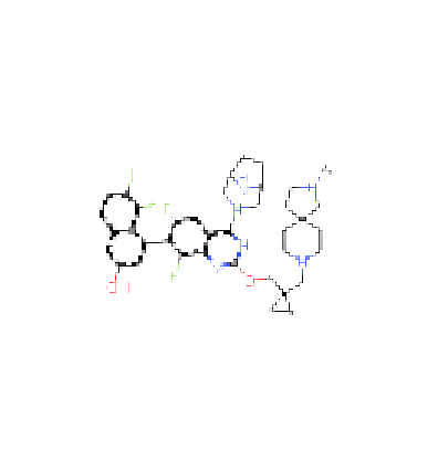 CC(=O)N1CCC2(CCN(CC3(COc4nc(N5CC6CCC(C5)N6)c5cc(F)c(-c6cc(O)cc7ccc(F)c(F)c67)c(F)c5n4)CC3)CC2)C1